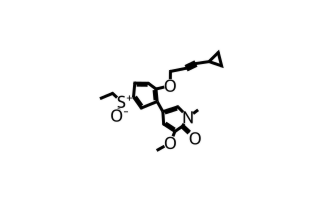 CC[S+]([O-])c1ccc(OCC#CC2CC2)c(-c2cc(OC)c(=O)n(C)c2)c1